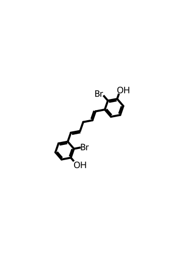 Oc1cccc(C=CCC=Cc2cccc(O)c2Br)c1Br